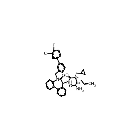 C=CC[C@H](C(N)=O)[C@@H](CC1CC1)C(=O)NC1C(=O)N(Cc2cccc(-c3ccc(F)c(Cl)c3)c2)c2ccccc2-c2ccccc21